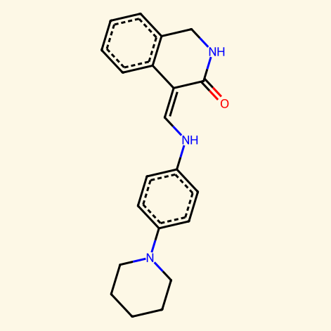 O=C1NCc2ccccc2C1=CNc1ccc(N2CCCCC2)cc1